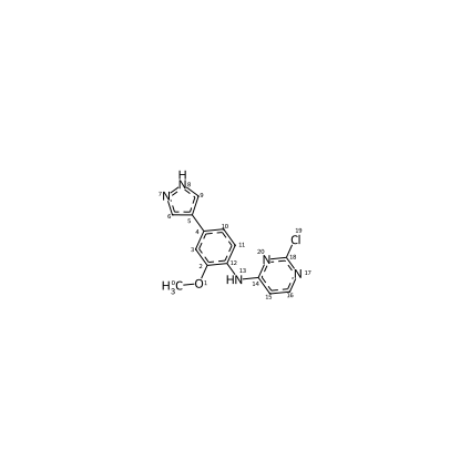 COc1cc(-c2cn[nH]c2)ccc1Nc1ccnc(Cl)n1